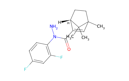 CC12C=C(C(=O)N(N)c3ccc(F)cc3F)[C@H](CC1)C2(C)C